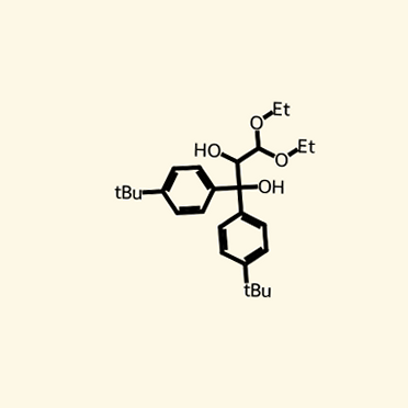 CCOC(OCC)C(O)C(O)(c1ccc(C(C)(C)C)cc1)c1ccc(C(C)(C)C)cc1